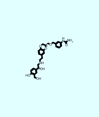 NC(=O)Nc1cccc(COC[C@@H]2COc3ccc(CCNC[C@@H](O)c4ccc(O)c(CO)c4)cc3O2)c1